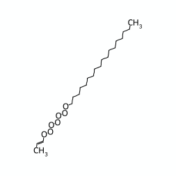 CC=COOOOOOOCCCCCCCCCCCCCCCCCC